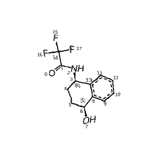 O=C(N[C@@H]1CC[C@H](O)c2ccccc21)C(F)(F)F